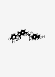 CC(C)(O)c1ccc(NC(=O)NCc2ccc3c(c2)C(=O)N(C2CCC(=O)NC2=O)C3)cc1